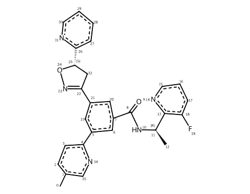 Cc1ccc(-c2cc(C(=O)N[C@H](C)c3ncccc3F)cc(C3=NO[C@H](c4ccccn4)C3)c2)nc1